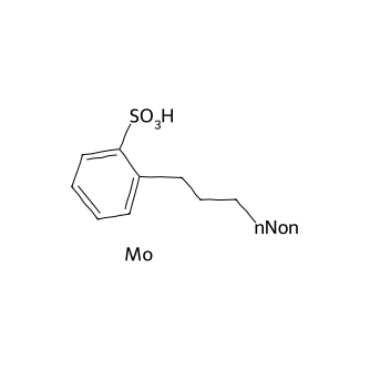 CCCCCCCCCCCCc1ccccc1S(=O)(=O)O.[Mo]